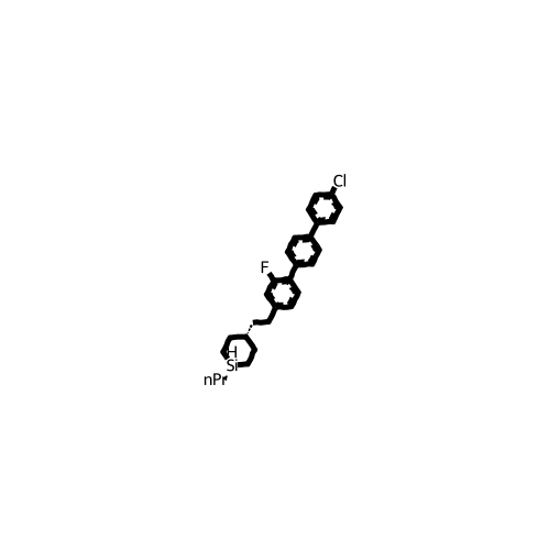 CCC[Si@H]1CC[C@H](CCc2ccc(-c3ccc(-c4ccc(Cl)cc4)cc3)c(F)c2)CC1